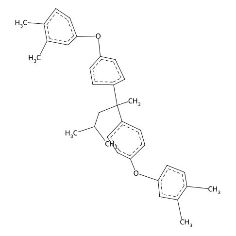 Cc1ccc(Oc2ccc(C(C)(CC(C)C)c3ccc(Oc4ccc(C)c(C)c4)cc3)cc2)cc1C